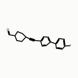 O=CC1CCC(C#Cc2ccc(-c3ccc(F)cc3)cc2)CC1